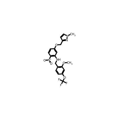 COc1cc(OC(F)(F)F)ccc1CNc1cc(OCc2ccn(C)n2)ccc1[N+](=O)[O-]